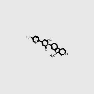 Cl.Cn1c2c(c3c1CNCC3)CCC(n1ccc(-c3ccc(C(F)(F)F)cn3)cc1=O)=C2